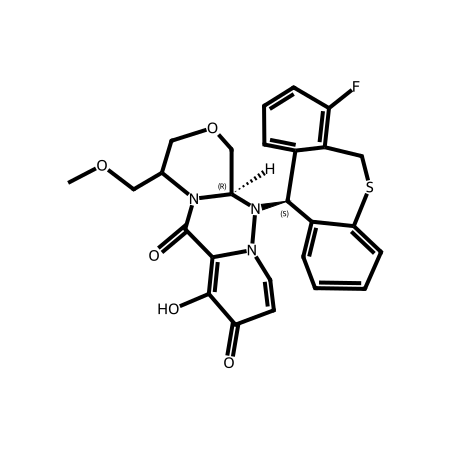 COCC1COC[C@@H]2N1C(=O)c1c(O)c(=O)ccn1N2[C@@H]1c2ccccc2SCc2c(F)cccc21